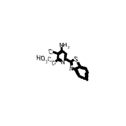 Nc1cc(-c2nc3ccccc3s2)nc(OC(=O)O)c1Cl